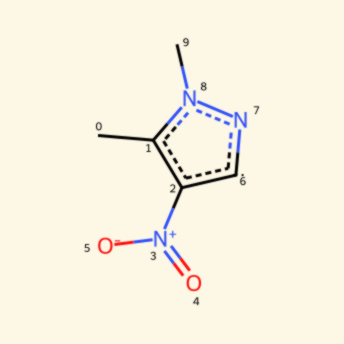 Cc1c([N+](=O)[O-])[c]nn1C